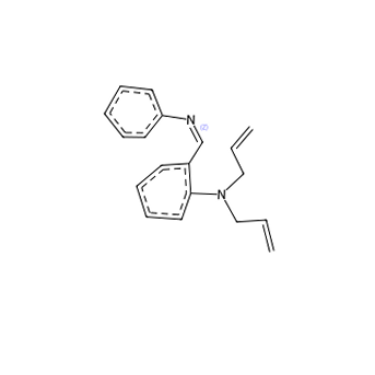 C=CCN(CC=C)c1ccccc1/C=N\c1ccccc1